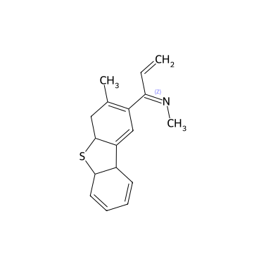 C=C/C(=N/C)C1=C(C)CC2SC3C=CC=CC3C2=C1